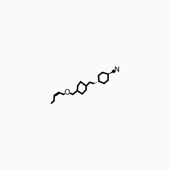 CC/C=C\COCC1CCC(CC[C@H]2CC[C@H](C#N)CC2)CC1